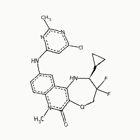 Cc1nc(Cl)cc(Nc2ccc3c(c2)c2c(c(=O)n3C)OCC(F)(F)[C@H](C3CC3)N2)n1